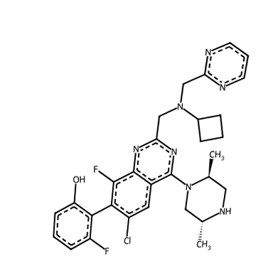 C[C@@H]1CN(c2nc(CN(Cc3ncccn3)C3CCC3)nc3c(F)c(-c4c(O)cccc4F)c(Cl)cc23)[C@@H](C)CN1